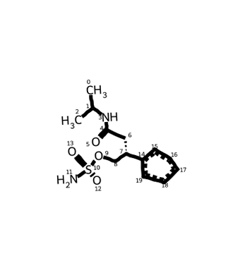 CC(C)NC(=O)C[C@@H](COS(N)(=O)=O)c1ccccc1